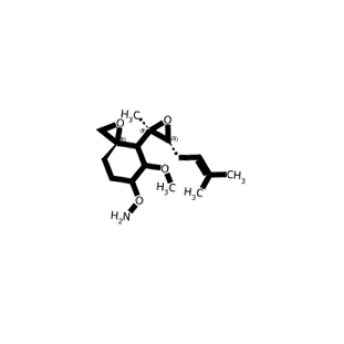 COC1C(ON)CC[C@]2(CO2)C1[C@@]1(C)O[C@@H]1CC=C(C)C